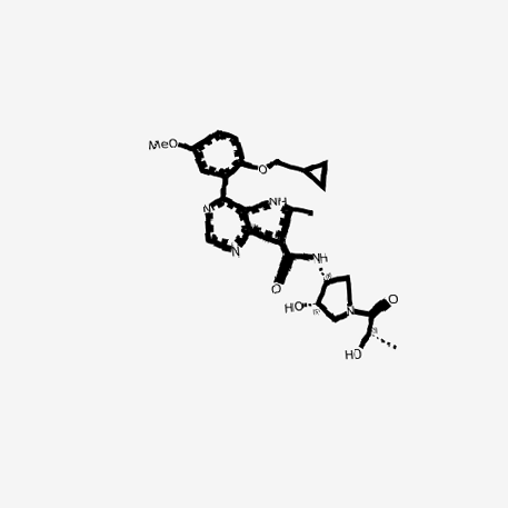 COc1ccc(OCC2CC2)c(-c2ncnc3c(C(=O)N[C@@H]4CN(C(=O)[C@H](C)O)C[C@@H]4O)c(C)[nH]c23)c1